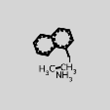 CC.Ic1cccc2ccccc12.N